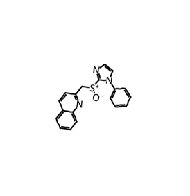 [O-][S+](Cc1ccc2ccccc2n1)c1nccn1-c1ccccc1